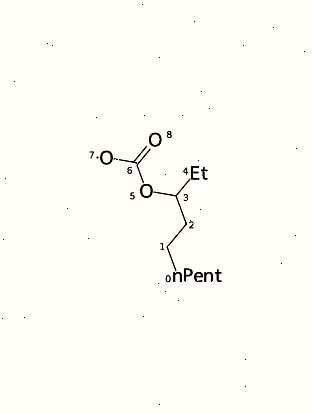 CCCCCCCC(CC)OC([O])=O